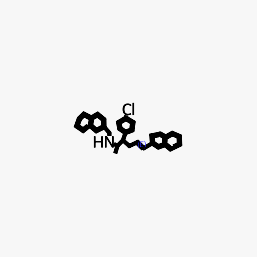 CC(NCc1ccc2ccccc2c1)C(C/C=C/c1ccc2ccccc2c1)c1ccc(Cl)cc1